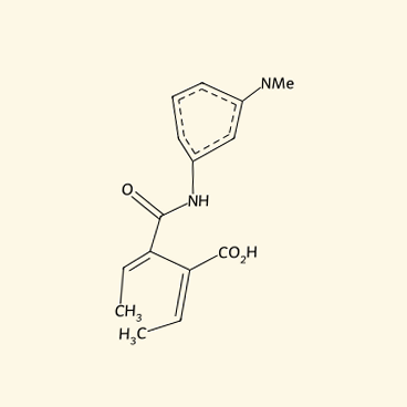 C/C=C(C(=O)O)\C(=C/C)C(=O)Nc1cccc(NC)c1